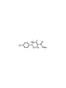 CCC(NC(C)=C(C#N)C(=O)SC)c1ccc(Cl)cc1